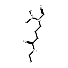 CCOC(=O)CCCN([C]=O)[SiH](C)C